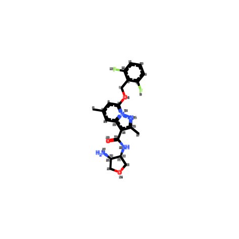 Cc1cc(OCc2c(F)cccc2F)n2nc(C)c(C(=O)N[C@H]3COC[C@H]3N)c2c1